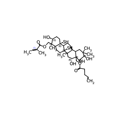 C=CCCC(=O)OC[C@@]12C(CC(C)(C)[C@@H](O)[C@@H]1O)C1=CCC3[C@@]4(S)CC[C@H](O)[C@](C)(COC(=O)/C(C)=C/C)C4CC[C@@]3(S)[C@]1(C)C[C@H]2O